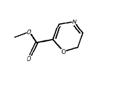 COC(=O)C1=CN=CCO1